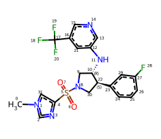 Cn1cnc(S(=O)(=O)N2C[C@H](Nc3cncc(C(F)(F)F)c3)[C@@H](c3cccc(F)c3)C2)c1